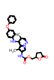 Cc1c(NC(=O)OCC2CCC(=O)O2)cn2ncc(C#N)c(Nc3ccc(Oc4ccccc4)cc3)c12